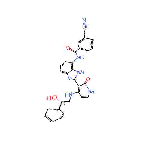 N#Cc1cccc(C(=O)Nc2cccc3nc(-c4c(NC[C@@H](O)c5ccccc5)cc[nH]c4=O)[nH]c23)c1